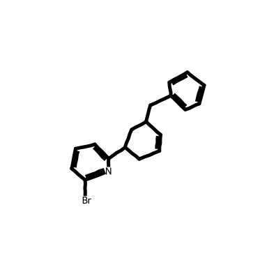 Brc1cccc(C2CC=CC(Cc3ccccc3)C2)n1